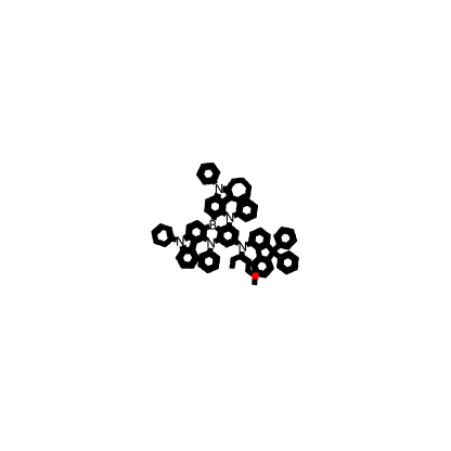 CCC/C=C(\CC)N(c1cc2c3c(c1)N(c1ccccc1)c1c(ccc4c1c1ccccc1n4C1=CC=CCC1)B3c1ccc3c(c4c(n3-c3ccccc3)CCCC=C4)c1N2c1ccccc1)c1cccc2c1-c1ccccc1C2(c1ccccc1)c1ccccc1